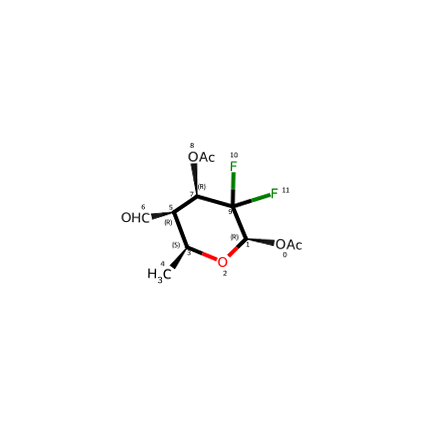 CC(=O)O[C@H]1O[C@@H](C)[C@@H](C=O)[C@@H](OC(C)=O)C1(F)F